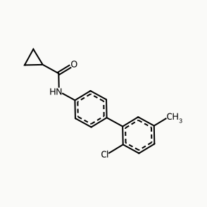 Cc1ccc(Cl)c(-c2ccc(NC(=O)C3CC3)cc2)c1